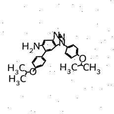 CC(C)Oc1ccc(-c2cc3c(cc2N)nnn3-c2ccc(OC(C)C)cc2)cc1